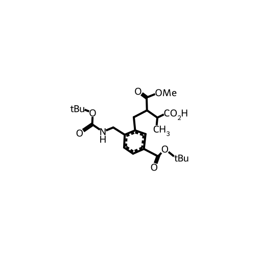 COC(=O)C(Cc1cc(C(=O)OC(C)(C)C)ccc1CNC(=O)OC(C)(C)C)C(C)C(=O)O